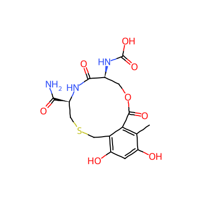 Cc1c(O)cc(O)c2c1C(=O)OC[C@H](NC(=O)O)C(=O)N[C@H](C(N)=O)CSC2